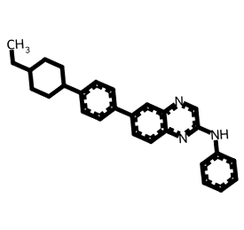 CCC1CCC(c2ccc(-c3ccc4nc(Nc5ccccc5)cnc4c3)cc2)CC1